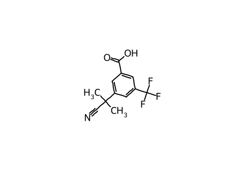 CC(C)(C#N)c1cc(C(=O)O)cc(C(F)(F)F)c1